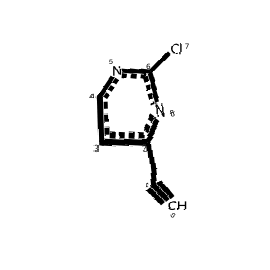 C#Cc1ccnc(Cl)n1